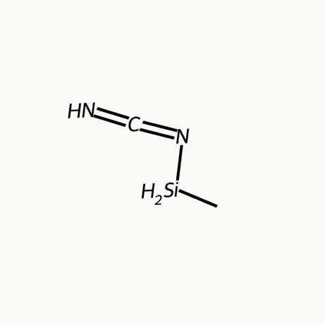 C[SiH2]N=C=N